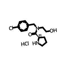 Cl.O=C([C@H]1CCCN1)N(CCO)Cc1ccc(Cl)cc1